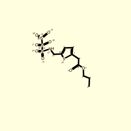 CCCOC(=O)Cc1ccc(CNS(=O)(=O)S(=O)(=O)[SH](=O)=O)s1